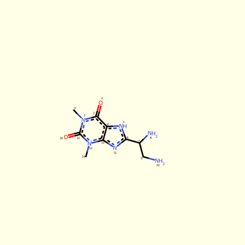 Cn1c(=O)c2[nH]c(C(N)CN)nc2n(C)c1=O